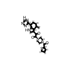 O=C(C(=O)N1CCN(C(=O)c2cccs2)CC1)c1c[nH]c2c(-c3nn[nH]n3)ccc(F)c12